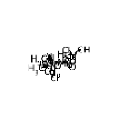 C#CCCN(C(=O)CCl)c1ccc2c(c1)N(C(=O)CNC(=O)C[C@@H]1N=C(c3ccc(Cl)cc3)c3c(sc(C)c3C)-n3c(C)nnc31)CCO2